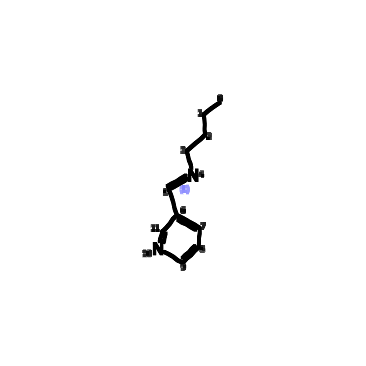 CCCC/N=C/c1cccnc1